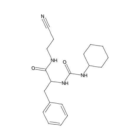 N#CCCNC(=O)C(Cc1ccccc1)NC(=O)NC1CCCCC1